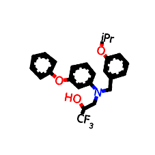 CC(C)Oc1cccc(CN(CC(O)C(F)(F)F)c2cccc(Oc3ccccc3)c2)c1